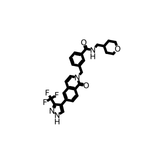 O=C(NCC1CCOCC1)c1cccc(Cn2ccc3cc(-c4c[nH]nc4C(F)(F)F)ccc3c2=O)c1